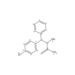 CC(=O)C(O)C(c1ccccc1)c1ccc(Cl)cc1